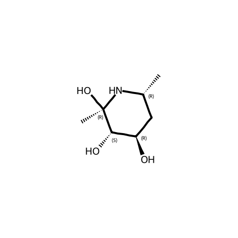 C[C@@H]1C[C@@H](O)[C@H](O)[C@@](C)(O)N1